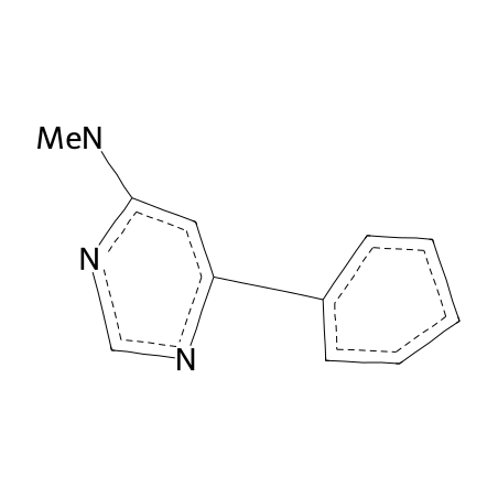 CNc1cc(-c2ccccc2)ncn1